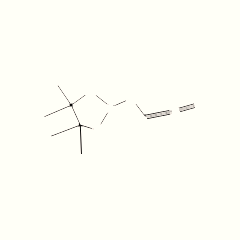 C=C=COP1OC(C)(C)C(C)(C)O1